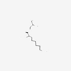 CCCCCCCCCCCCCCCCC(OCC)C(=O)OCC(O)CO